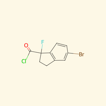 O=C(Cl)C1(F)CCc2cc(Br)ccc21